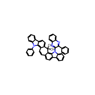 CC1(C)c2ccc3c4ccccc4n(-c4ccccc4)c3c2C=Cc2ccc3c4ccccc4n(-c4nc5ccccc5nc4-c4ccccc4)c3c21